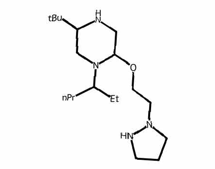 CCCC(CC)N1CC(C(C)(C)C)NCC1OCCN1CCCN1